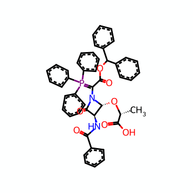 C[C@@H](O[C@@H]1[C@@H](NC(=O)c2ccccc2)C(=O)N1C(C(=O)OC(c1ccccc1)c1ccccc1)=P(c1ccccc1)(c1ccccc1)c1ccccc1)C(=O)O